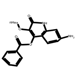 CCCCCCOc1c(OC(=O)c2ccccc2)c2ccc(N)cc2[nH]c1=O